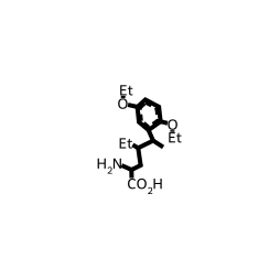 CCOc1ccc(OCC)c(C(C)C(CC)CC(N)C(=O)O)c1